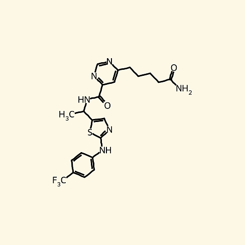 CC(NC(=O)c1cc(CCCCC(N)=O)ncn1)c1cnc(Nc2ccc(C(F)(F)F)cc2)s1